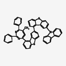 CC1=C=C(c2cccc3sc4ccc(-c5cccc6sc7ccc(-n8c9ccccc9c9ccccc98)cc7c56)cc4c23)N=C(c2ccccc2)N=C1c1ccccc1